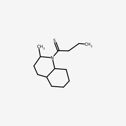 CCCC(=S)N1C(C)CCC2CCCCC21